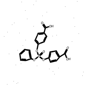 O=C(O)c1ccc(OP(=O)(Oc2ccccc2)Oc2ccc(C(=O)O)cc2)cc1